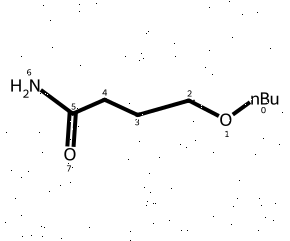 CCCCO[CH]CCC(N)=O